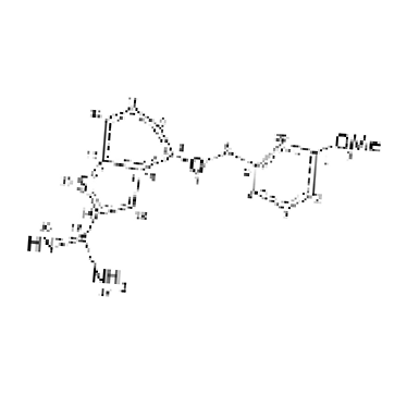 COc1cccc(COc2cccc3sc(C(=N)N)cc23)c1